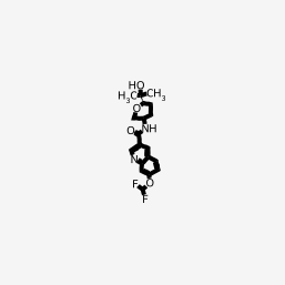 CC(C)(O)[C@@H]1CCC(NC(=O)c2cnc3cc(OC(F)F)ccc3c2)CO1